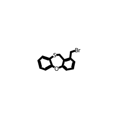 BrCc1cccc2c1CSc1ccccc1O2